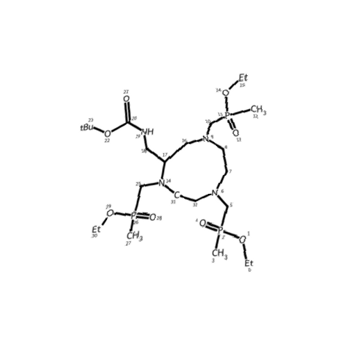 CCOP(C)(=O)CN1CCN(CP(C)(=O)OCC)CC(CNC(=O)OC(C)(C)C)N(CP(C)(=O)OCC)CC1